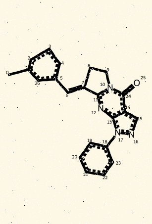 Cc1cccc(/C=C2\CCn3c2nc2c(cnn2-c2ccccc2)c3=O)c1